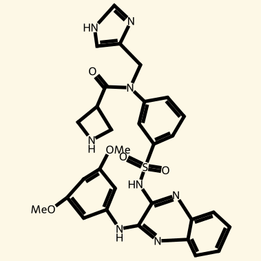 COc1cc(Nc2nc3ccccc3nc2NS(=O)(=O)c2cccc(N(Cc3c[nH]cn3)C(=O)C3CNC3)c2)cc(OC)c1